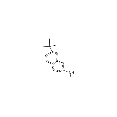 CNc1ccc2ccc(C(C)(C)C)cc2n1